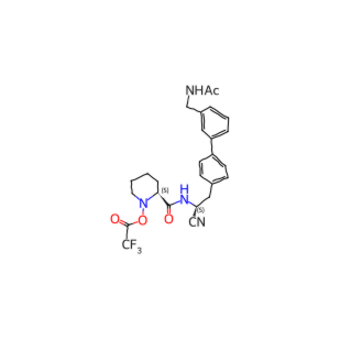 CC(=O)NCc1cccc(-c2ccc(C[C@@H](C#N)NC(=O)[C@@H]3CCCCN3OC(=O)C(F)(F)F)cc2)c1